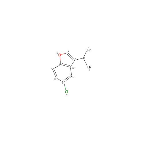 CC(C)C(C#N)c1coc2ccc(Cl)cc12